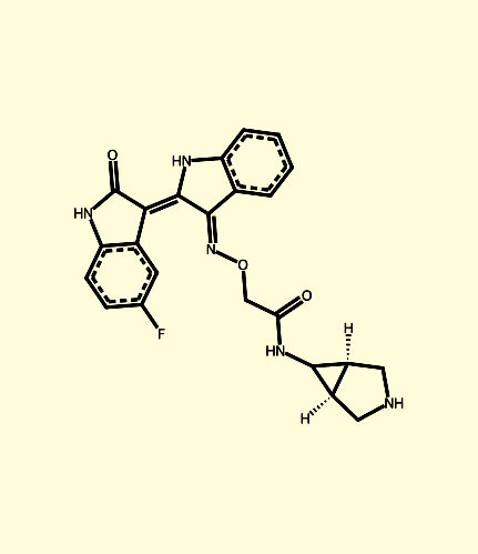 O=C(CO/N=C1/C(=C2/C(=O)Nc3ccc(F)cc32)Nc2ccccc21)NC1[C@H]2CNC[C@@H]12